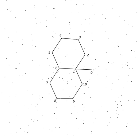 [CH2]C12CCCCC1CCCC2